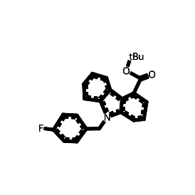 CC(C)(C)OC(=O)c1cccc2c1c1ccccc1n2Cc1ccc(F)cc1